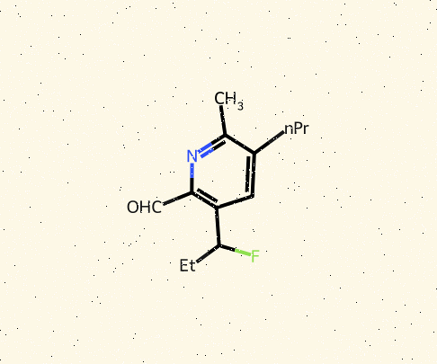 CCCc1cc(C(F)CC)c(C=O)nc1C